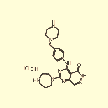 Cl.Cl.O=c1[nH]ncc2nc(N3CCCNCC3)nc(Nc3ccc(CN4CCNCC4)cc3)c12